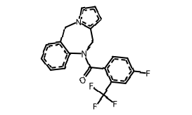 O=C(c1ccc(F)cc1C(F)(F)F)N1Cc2cccn2Cc2ccccc21